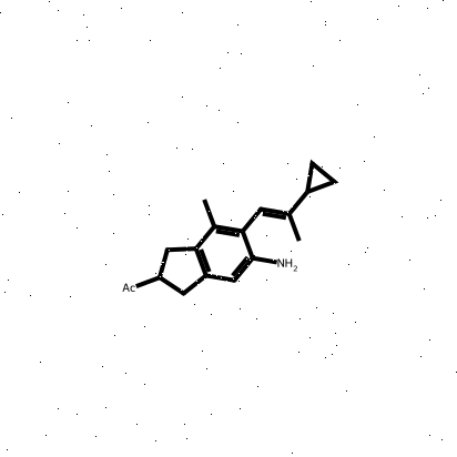 CC(=O)C1Cc2cc(N)c(/C=C(\C)C3CC3)c(C)c2C1